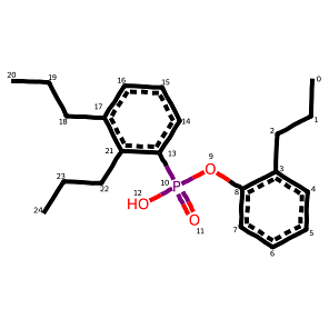 CCCc1ccccc1OP(=O)(O)c1cccc(CCC)c1CCC